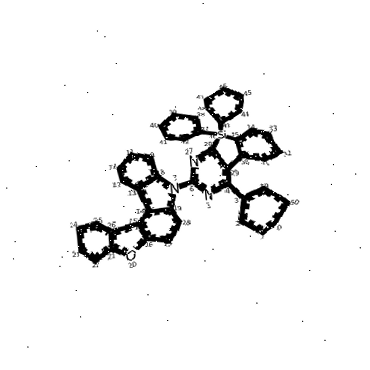 c1ccc(-c2nc(-n3c4ccccc4c4c5c(ccc43)oc3ccccc35)nc3c2-c2ccccc2[Si]3(c2ccccc2)c2ccccc2)cc1